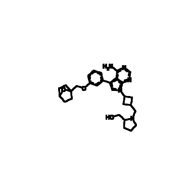 Nc1ncnc2c1c(-c1cccc(OCC34CCC(CC3)O4)c1)cn2C1CC(CN2CCCC2CO)C1